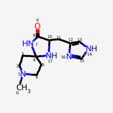 CN1CCC2(CC1)NC(=O)C(Cc1c[nH]cn1)N2